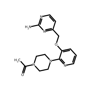 CC(=O)N1CCN(c2ncccc2OCc2ccnc(N)n2)CC1